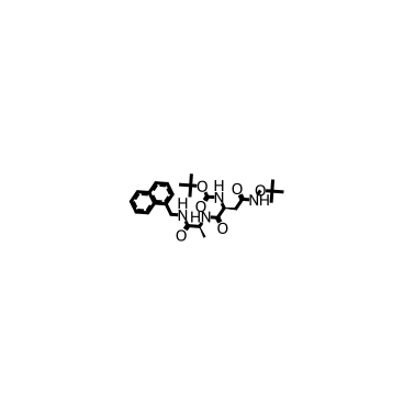 C[C@H](NC(=O)[C@H](CC(=O)NOC(C)(C)C)NC(=O)OC(C)(C)C)C(=O)NCc1cccc2ccccc12